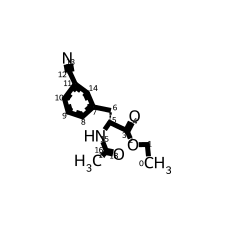 CCOC(=O)[C@@H](Cc1cccc(C#N)c1)NC(C)=O